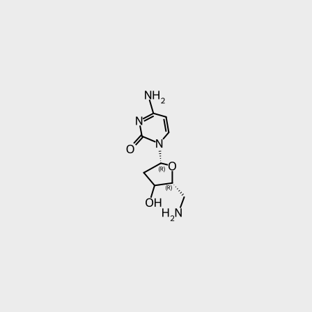 NC[C@H]1O[C@@H](n2ccc(N)nc2=O)CC1O